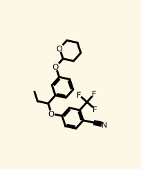 CCC(Oc1ccc(C#N)c(C(F)(F)F)c1)c1cccc(OC2CCCCO2)c1